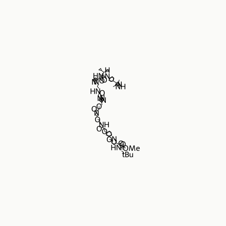 COC(=O)[C@H](CCC(C)(C)C)NC(=O)c1ccc(Oc2cccc(OCC(=O)NCCOC3CN(C(=O)COCc4cn(CC(=O)NCCCn5nccc5C(=O)N[C@H](C(=O)Nc5ccc(-c6c(C)n[nH]c6C)cc5)C(C5CC5)C5CC5)nn4)C3)c2)nc1